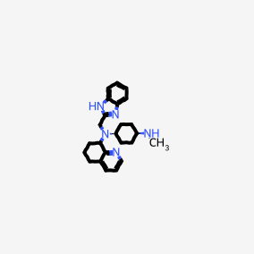 CN[C@H]1CC[C@H](N(Cc2nc3ccccc3[nH]2)C2CCCc3cccnc32)CC1